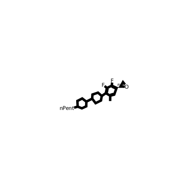 CCCCCC1CCC(C2CCC(c3c(C)cc([C@@H]4CO4)c(F)c3F)CC2)CC1